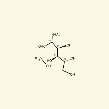 CC(=O)N[C@@H](C=O)[C@@H](O)[C@H](O)[C@H](O)CO.O=S(=O)(O)O